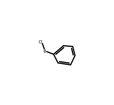 Cl[B]c1ccccc1